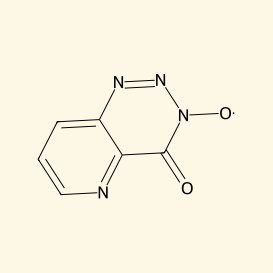 [O]n1nnc2cccnc2c1=O